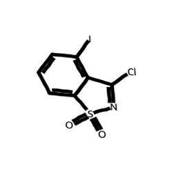 O=S1(=O)N=C(Cl)c2c(I)cccc21